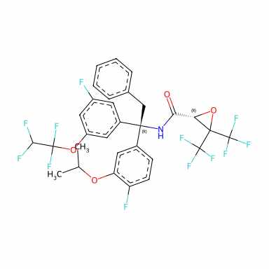 CC(C)Oc1cc([C@@](Cc2ccccc2)(NC(=O)[C@@H]2OC2(C(F)(F)F)C(F)(F)F)c2cc(F)cc(OC(F)(F)C(F)F)c2)ccc1F